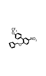 O=[N+]([O-])c1ccc(OCc2ccccc2)c(-c2ccc(OC(F)(F)F)cc2)c1